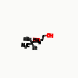 CCCCC(C)(C)CC.OCCO